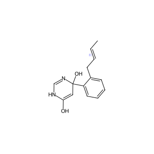 C/C=C/Cc1ccccc1C1(O)C=C(O)NC=N1